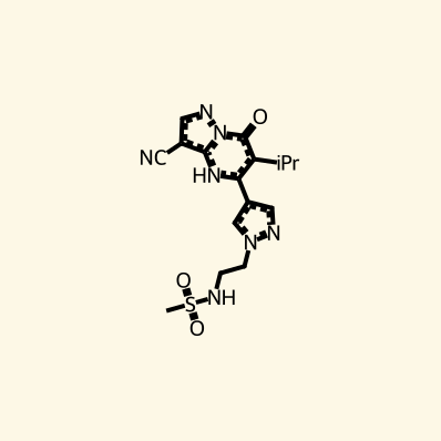 CC(C)c1c(-c2cnn(CCNS(C)(=O)=O)c2)[nH]c2c(C#N)cnn2c1=O